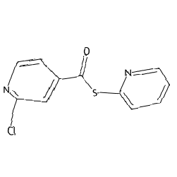 O=C(Sc1ccccn1)c1ccnc(Cl)c1